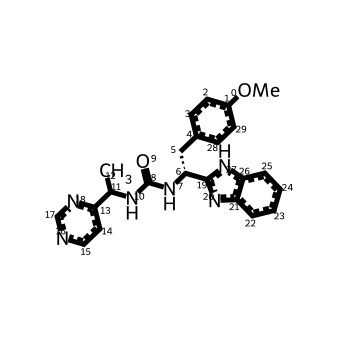 COc1ccc(C[C@@H](NC(=O)NC(C)c2ccncn2)c2nc3ccccc3[nH]2)cc1